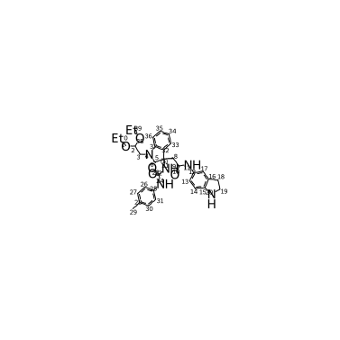 CCOC(CN1C(=O)[C@@](CC(=O)Nc2ccc3c(c2)CCN3)(NC(=O)Nc2ccc(C)cc2)c2ccccc21)OCC